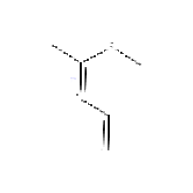 C=C/N=C(/C)SC